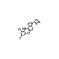 Cn1ccc(-n2ccc3c(Nc4c(Cl)cc(F)cc4Cl)nccc32)n1